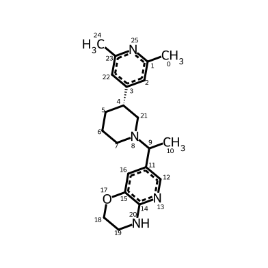 Cc1cc([C@H]2CCCN(C(C)c3cnc4c(c3)OCCN4)C2)cc(C)n1